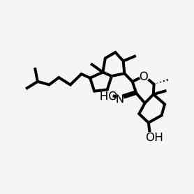 CC(C)CCCCC1CCC2C(C3O[C@H](C)C4(C)CCC(O)CC4/C3=N/O)C(C)CCC12C